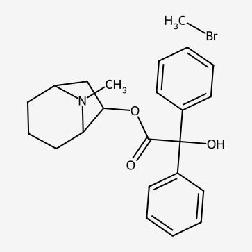 CBr.CN1C2CCCC1C(OC(=O)C(O)(c1ccccc1)c1ccccc1)C2